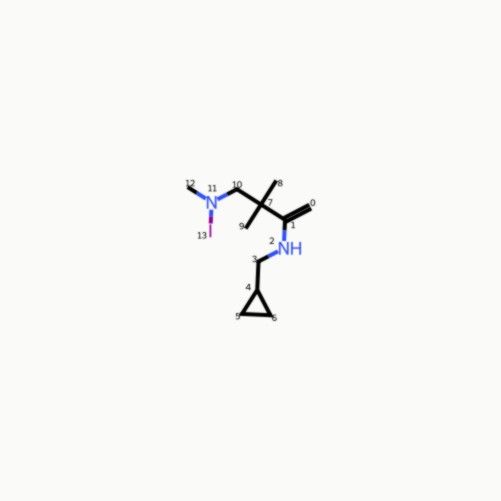 C=C(NCC1CC1)C(C)(C)CN(C)I